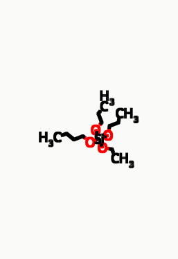 CCCCO[Si](OCC)(OCCC)OCCC